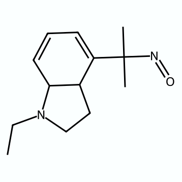 CCN1CCC2C(C(C)(C)N=O)=CC=CC21